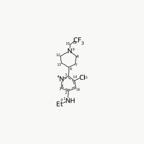 CCNc1cnc(C2CCN(CC(F)(F)F)CC2)c(Cl)c1